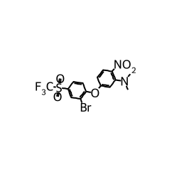 CN(C)c1cc(Oc2ccc(S(=O)(=O)C(F)(F)F)cc2Br)ccc1[N+](=O)[O-]